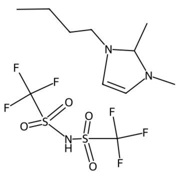 CCCCN1C=CN(C)C1C.O=S(=O)(NS(=O)(=O)C(F)(F)F)C(F)(F)F